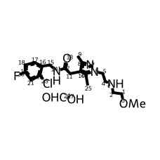 COCCNCCn1nc(C)c(CC(=O)NCc2ccc(F)cc2Cl)c1C.O=CO